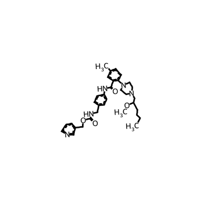 CCCCC(CN1CCN(c2ccc(C)cc2C(=O)Nc2ccc(CNC(=O)OCc3cccnc3)cc2)CC1)OC